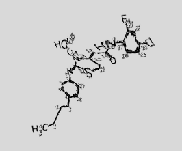 CCCCc1ccc(/N=C2\SCC(CC(=O)Nc3ccc(Cl)cc3F)N2C)cc1.Cl